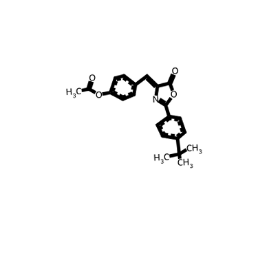 CC(=O)Oc1ccc(/C=C2\N=C(c3ccc(C(C)(C)C)cc3)OC2=O)cc1